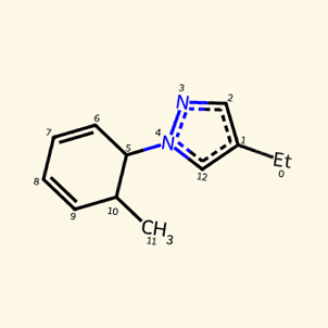 CCc1cnn(C2C=CC=CC2C)c1